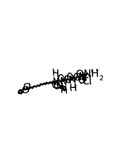 NCCN(C(=O)CCl)C(=O)COCCNC(=O)COCCNC(=O)CC[C@H](NC(=O)CCCCCCCCCCCCCCCCC(=O)OCc1ccccc1)C(=O)OCc1ccccc1